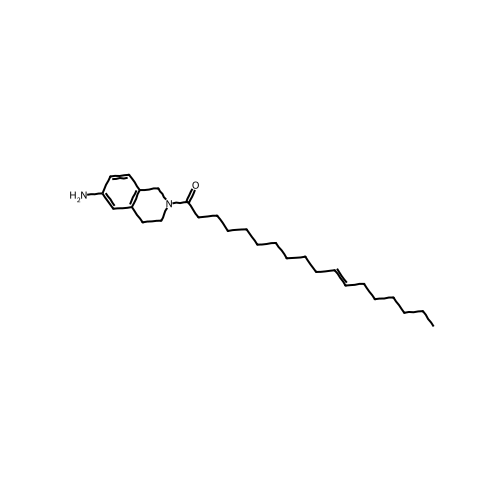 CCCCCCC=CCCCCCCCCCC(=O)N1CCc2cc(N)ccc2C1